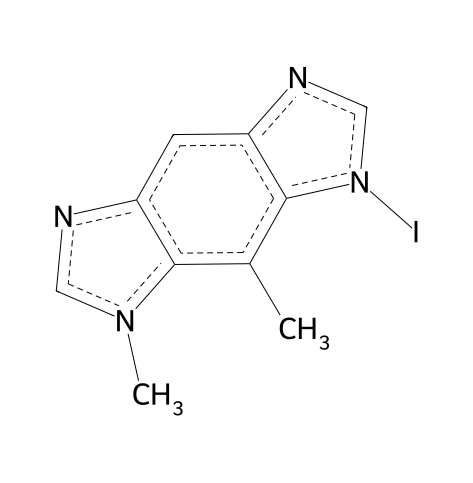 Cc1c2c(cc3ncn(I)c13)ncn2C